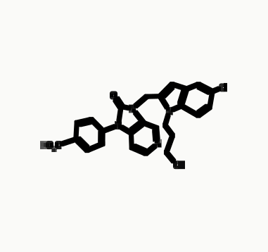 N#CCCCn1c(Cn2c(=O)n(-c3ccc(C(=O)O)cc3)c3ccncc32)cc2cc(Cl)ccc21